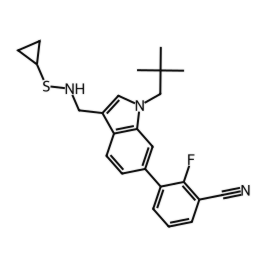 CC(C)(C)Cn1cc(CNSC2CC2)c2ccc(-c3cccc(C#N)c3F)cc21